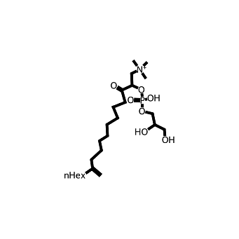 C=C(CCCCCC)CCCCCCCCC(=O)C(C[N+](C)(C)C)OP(=O)(O)OCC(O)CO